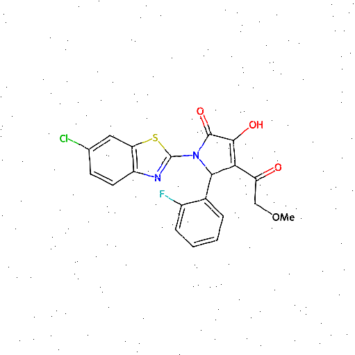 COCC(=O)C1=C(O)C(=O)N(c2nc3ccc(Cl)cc3s2)C1c1ccccc1F